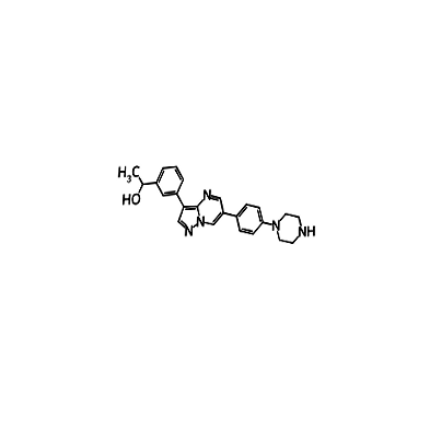 CC(O)c1cccc(-c2cnn3cc(-c4ccc(N5CCNCC5)cc4)cnc23)c1